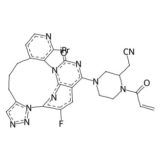 C=CC(=O)N1CCN(c2nc(=O)n3c4nc(c(F)cc24)-n2nncc2CCCc2ccnc(C(C)C)c2-3)CC1CC#N